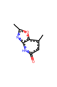 Cc1nc2[nH]c(=O)cc(C)c2o1